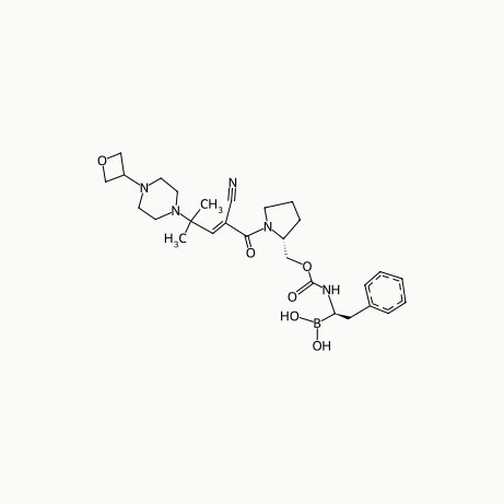 CC(C)(C=C(C#N)C(=O)N1CCC[C@@H]1COC(=O)N[C@@H](Cc1ccccc1)B(O)O)N1CCN(C2COC2)CC1